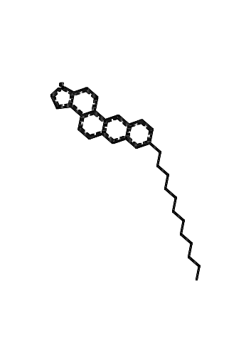 CCCCCCCCCCCCc1ccc2cc3c(ccc4c5ccsc5ccc34)cc2c1